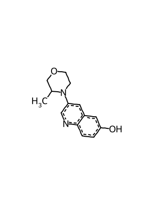 CC1COCCN1c1cnc2ccc(O)cc2c1